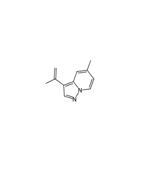 C=C(C)c1cnn2ccc(C)cc12